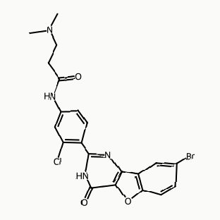 CN(C)CCC(=O)Nc1ccc(-c2nc3c(oc4ccc(Br)cc43)c(=O)[nH]2)c(Cl)c1